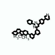 CC1(C)c2cc(-c3cccc(-c4cccc(-c5cc(-c6ccc(-c7cccnc7)cc6)nc(-c6ccccc6)n5)c4)c3)ccc2-c2ccc3ccccc3c21